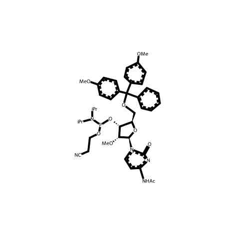 COc1ccc(C(OC[C@H]2O[C@@H](n3ccc(NC(C)=O)nc3=O)[C@H](OC)[C@@H]2OP(OCCC#N)N(C(C)C)C(C)C)(c2ccccc2)c2ccc(OC)cc2)cc1